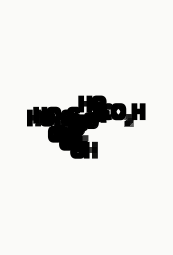 O=C(O)CN(CCO)CCOCCOc1ccc(-c2c3cc(F)c(=O)cc-3oc3cc(O)c(F)cc23)cc1N(CC(=O)O)CC(=O)O